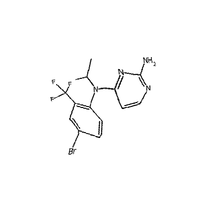 CC(C)N(c1ccnc(N)n1)c1ccc(Br)cc1C(F)(F)F